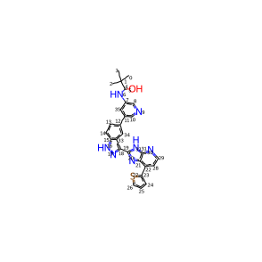 CC(C)(C)C(O)Nc1cncc(-c2ccc3[nH]nc(-c4nc5c(-c6cccs6)ccnc5[nH]4)c3c2)c1